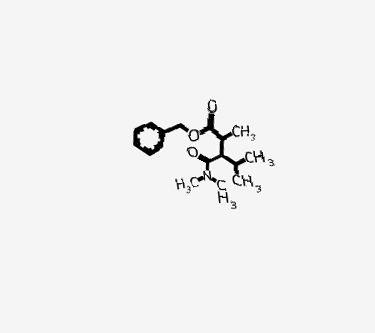 CC(C)C(C(=O)N(C)C)C(C)C(=O)OCc1ccccc1